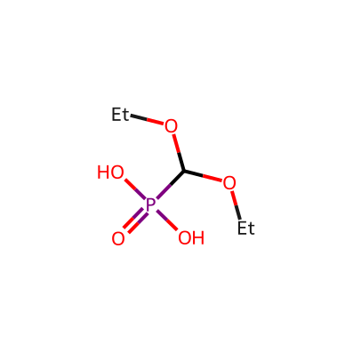 CCOC(OCC)P(=O)(O)O